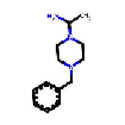 CC(N)N1CCN(Cc2ccccc2)CC1